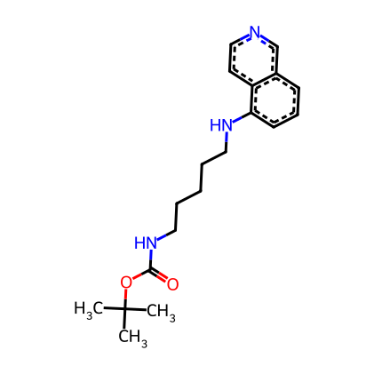 CC(C)(C)OC(=O)NCCCCCNc1cccc2cnccc12